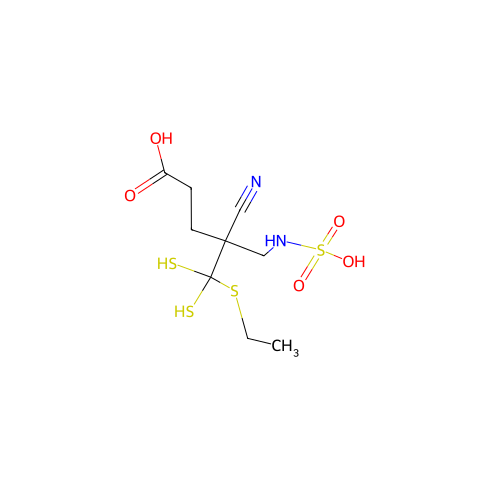 CCSC(S)(S)C(C#N)(CCC(=O)O)CNS(=O)(=O)O